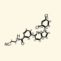 N#CCCNC(=O)c1cccc(-c2ccc3ccn(-c4ccc(Cl)cc4Cl)c3n2)c1